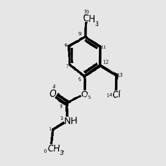 CCNC(=O)Oc1ccc(C)cc1CCl